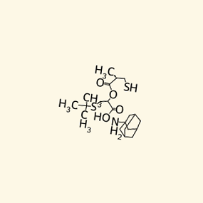 C[C@@H](CS)C(=O)OC(CSC(C)(C)C)C(=O)O.NC12CC3CC(CC(C3)C1)C2